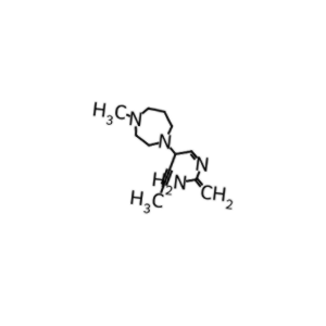 C=C(N)/N=C\C(C#CC)N1CCCN(C)CC1